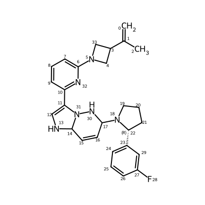 C=C(C)C1CN(c2cccc(C3=CNC4C=CC(N5CCC[C@@H]5c5cccc(F)c5)NN34)n2)C1